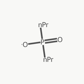 CCCP([O])(=O)CCC